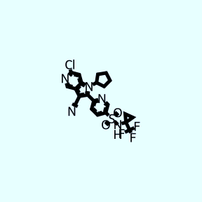 N#Cc1c(-c2ccc(S(=O)(=O)NC3(C(F)(F)F)CC3)cn2)n(C2CCCC2)c2cc(Cl)ncc12